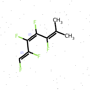 CC(C)=C(F)/C(F)=C(F)\C(F)=C\F